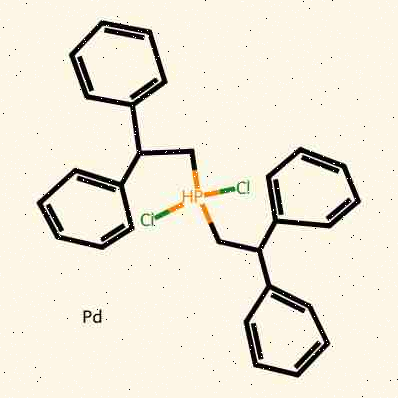 Cl[PH](Cl)(CC(c1ccccc1)c1ccccc1)CC(c1ccccc1)c1ccccc1.[Pd]